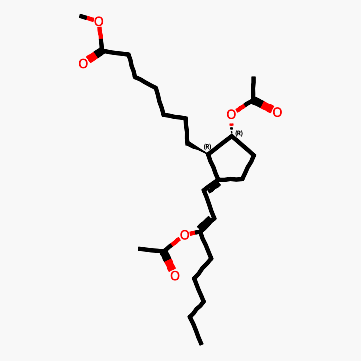 CCCCCC(=CC=C1CC[C@@H](OC(C)=O)[C@@H]1CCCCCCC(=O)OC)OC(C)=O